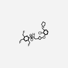 O=S(=O)(NCC1CC(Oc2cccc(CN3CCCC3)c2Cl)C1)c1cc(CF)c(CF)cc1CF